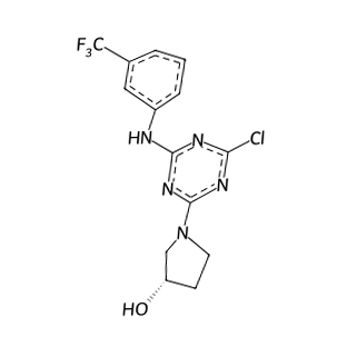 O[C@H]1CCN(c2nc(Cl)nc(Nc3cccc(C(F)(F)F)c3)n2)C1